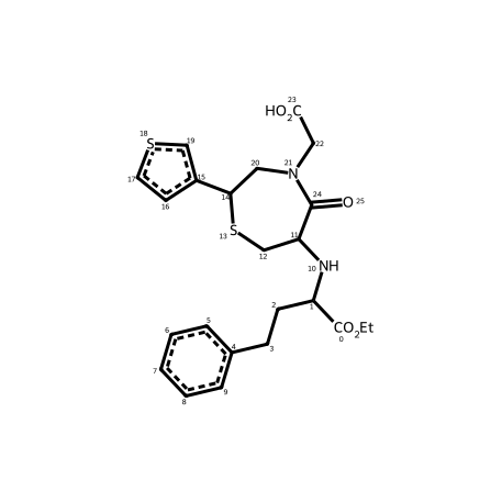 CCOC(=O)C(CCc1ccccc1)NC1CSC(c2ccsc2)CN(CC(=O)O)C1=O